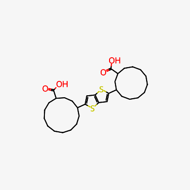 O=C(O)C1CCCCCCCCCC(c2cc3sc(C4CCCCCCCCCC(C(=O)O)C4)cc3s2)CC1